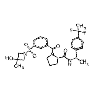 C[C@@H](NC(=O)[C@H]1CCCN1C(=O)c1cccc(S(=O)(=O)N2CC(C)(O)C2)c1)c1ccc(C(C)(F)F)cc1